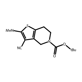 CNc1sc2c(c1C#N)CN(C(=O)OC(C)(C)C)CC2